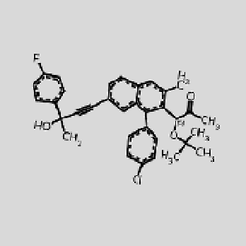 CC(=O)[C@@H](OC(C)(C)C)c1c(C)cc2ccc(C#CC(C)(O)c3ccc(F)cc3)cc2c1-c1ccc(Cl)cc1